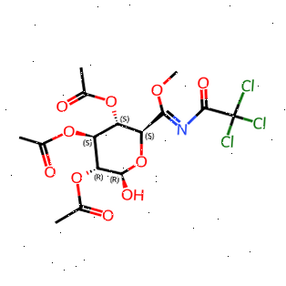 COC(=NC(=O)C(Cl)(Cl)Cl)[C@H]1O[C@@H](O)[C@H](OC(C)=O)[C@@H](OC(C)=O)[C@@H]1OC(C)=O